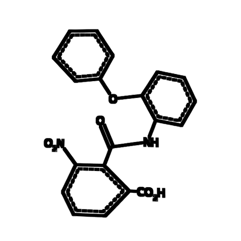 O=C(O)c1cccc([N+](=O)[O-])c1C(=O)Nc1ccccc1Oc1ccccc1